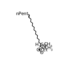 CCCCCC=CCCCCCCCCCCCCCCC(CC)(P(=O)=O)[N+](C)(C)C